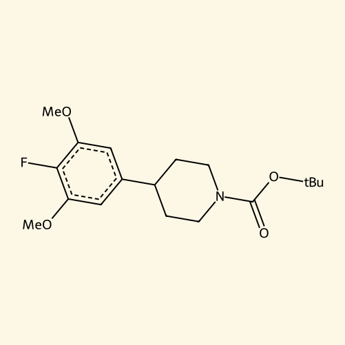 COc1cc(C2CCN(C(=O)OC(C)(C)C)CC2)cc(OC)c1F